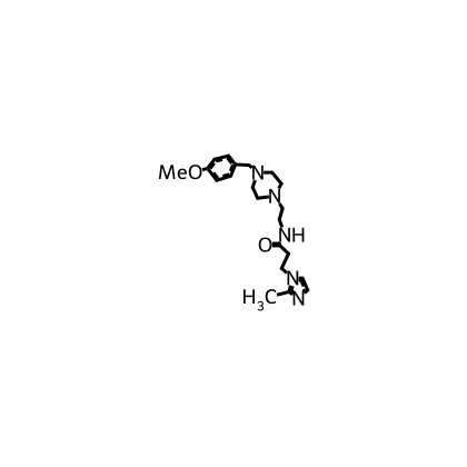 COc1ccc(CN2CCN(CCNC(=O)CCn3ccnc3C)CC2)cc1